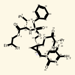 CCC(CC)COC(=O)[C@H](CC(C)C)NP(=O)(OC[C@@]1(COC(=O)[C@@H](N)C(C)C)C/C1=C/n1cc(F)c(N)nc1=O)Oc1ccccc1